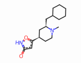 CN1CC[C@@H](c2cc(=O)[nH]o2)C[C@H]1CC1CCCCC1